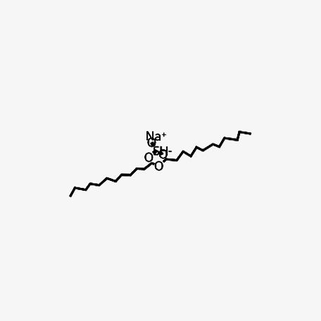 CCCCCCCCCCCCOCCCCCCCCCCCC.O=[SH](=O)[O-].[Na+]